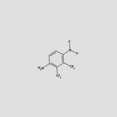 Nc1ccc(N(F)F)c(C(F)(F)F)c1C(F)(F)F